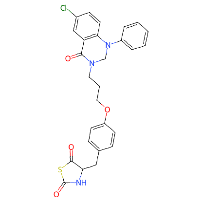 O=C1NC(Cc2ccc(OCCCN3CN(c4ccccc4)c4ccc(Cl)cc4C3=O)cc2)C(=O)S1